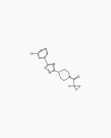 O=C(N1CCC(c2noc(-c3ccnc(Cl)c3)n2)CC1)C1(F)CC1